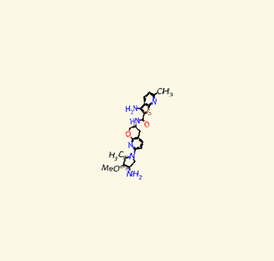 CO[C@H]1[C@H](N)CN(c2ccc3c(n2)OC[C@H](NC(=O)c2sc4nc(C)ccc4c2N)C3)[C@H]1C